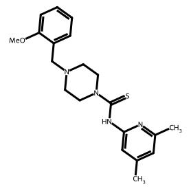 COc1ccccc1CN1CCN(C(=S)Nc2cc(C)cc(C)n2)CC1